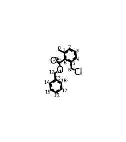 Cc1cccc(CCl)c1C(=O)OCc1ccccc1